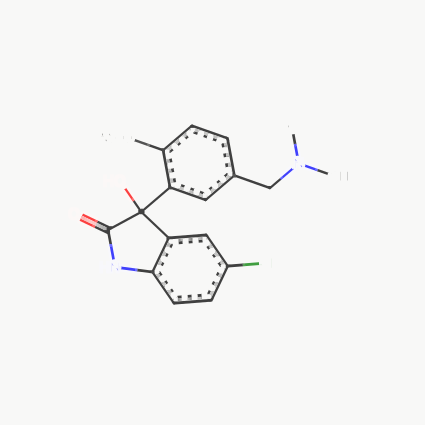 COc1ccc(CN(C)C)cc1C1(O)C(=O)Nc2ccc(Cl)cc21